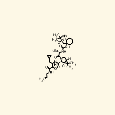 C=CCNC(=O)C(=O)C(CC1CC1)NC(=O)[C@@H]1[C@@H]2[C@H](CN1C(=O)[C@@H](NC(=O)NC1(CS(=O)(=O)C(C)(C)CCC)CCCCC1)C(C)(C)C)C2(C)C